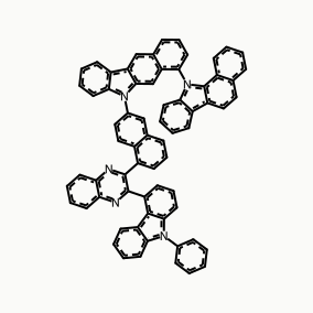 c1ccc(-n2c3ccccc3c3c(-c4nc5ccccc5nc4-c4cccc5cc(-n6c7ccccc7c7cc8cccc(-n9c%10ccccc%10c%10ccc%11ccccc%11c%109)c8cc76)ccc45)cccc32)cc1